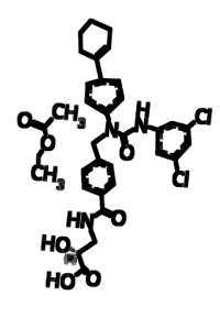 CCOC(C)=O.O=C(NC[C@@H](O)C(=O)O)c1ccc(CN(C(=O)Nc2cc(Cl)cc(Cl)c2)c2ccc(C3=CCCCC3)cc2)cc1